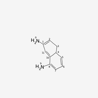 NC1=CCC2C=CC=C(N)C2=C1